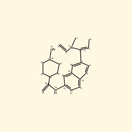 C=CN(C)/C(=C\C)c1ccc2cnc(NC(=C)C3CCN(CCC)CC3)cc2c1